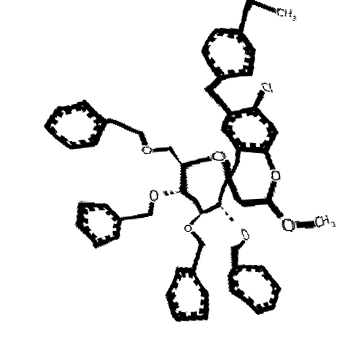 CCc1ccc(Cc2cc3c(cc2Cl)OC(OC)CC32O[C@H](COCc3ccccc3)[C@@H](OCc3ccccc3)[C@H](OCc3ccccc3)[C@H]2OCc2ccccc2)cc1